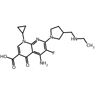 CCNCC1CCN(c2nc3c(c(N)c2F)c(=O)c(C(=O)O)cn3C2CC2)C1